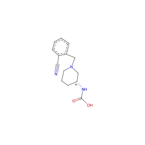 N#Cc1ccccc1CN1CCC[C@@H](NC(=O)O)C1